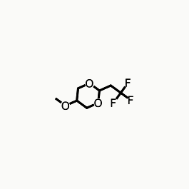 COC1COC(CC(F)(F)F)OC1